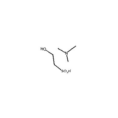 CN(C)C.O=S(=O)(O)CCO